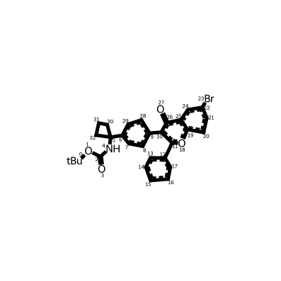 CC(C)(C)OC(=O)NC1(c2ccc(-c3c(-c4ccccc4)oc4ccc(Br)cc4c3=O)cc2)CCC1